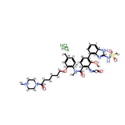 COc1c(-c2cccc3[nH]c(NS(C)(=O)=O)nc23)ccc(C(=O)N(C)c2ccc(C)cc2OCCCCCC(=O)N2CCN(C)CC2)c1N=C=O.Cl.Cl